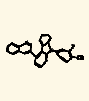 N#Cc1ccc(-n2c3ccccc3c3c(-c4cnc5ccccc5c4)cccc32)cc1F